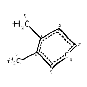 [CH2]c1[c]cccc1[CH2]